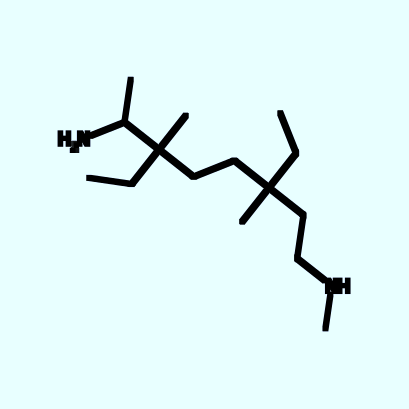 CCC(C)(CCNC)CCC(C)(CC)C(C)N